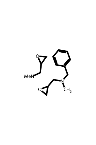 CN(Cc1ccccc1)CC1CO1.CNCC1CO1